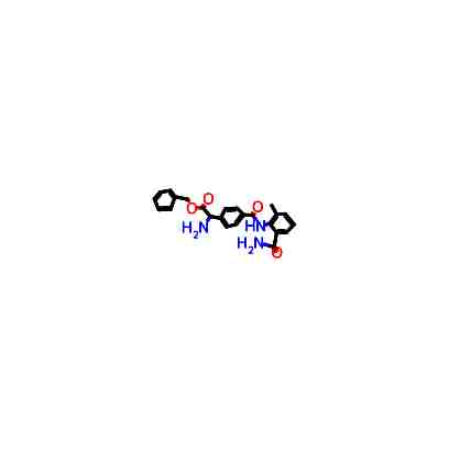 Cc1cccc(C(N)=O)c1NC(=O)c1ccc(C(N)C(=O)OCc2ccccc2)cc1